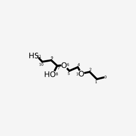 CCCOCCOC(O)CCS